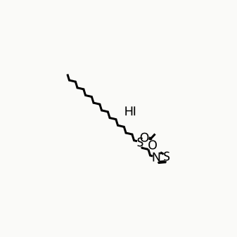 CCCCCCCCCCCCCCCCCCSCC(CN1C=CSC1)OC(C)=O.I